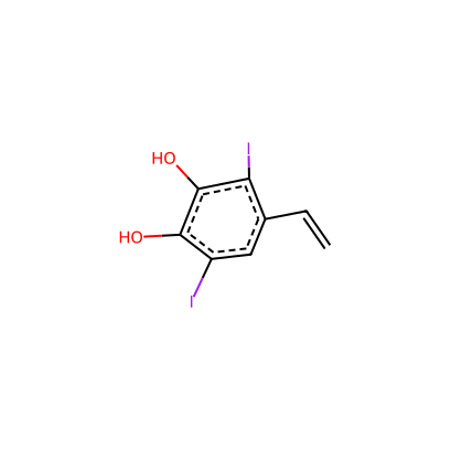 C=Cc1cc(I)c(O)c(O)c1I